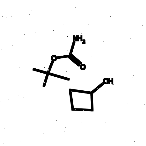 CC(C)(C)OC(N)=O.OC1CCC1